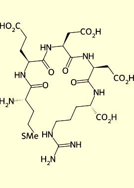 CSCC[C@H](N)C(=O)N[C@@H](CCC(=O)O)C(=O)N[C@@H](CC(=O)O)C(=O)N[C@@H](CC(=O)O)C(=O)N[C@@H](CCCNC(=N)N)C(=O)O